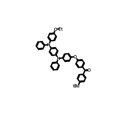 CCOc1ccc(N(c2ccccc2)c2ccc(N(c3ccccc3)c3ccc(Oc4ccc(C(=O)c5ccc(C(C)(C)C)cc5)cc4)cc3)cc2)cc1